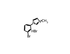 Br.C[n+]1ccn(-c2cccc(Br)c2)c1